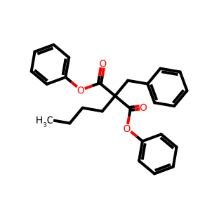 CCCCC(Cc1ccccc1)(C(=O)Oc1ccccc1)C(=O)Oc1ccccc1